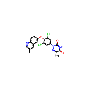 Cc1cnc2ccc(Oc3c(Cl)cc(-n4nc(C#N)c(=O)[nH]c4=O)cc3Cl)cc2c1